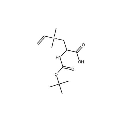 C=C[Si](C)(C)CC(NC(=O)OC(C)(C)C)C(=O)O